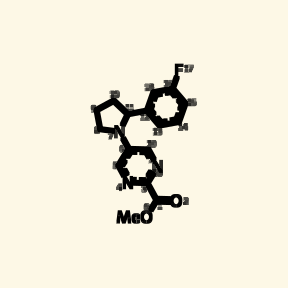 COC(=O)c1ncc(N2CCCC2c2cccc(F)c2)cn1